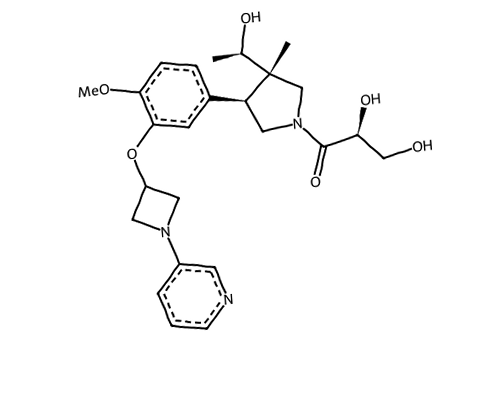 COc1ccc([C@@H]2CN(C(=O)[C@@H](O)CO)C[C@@]2(C)[C@@H](C)O)cc1OC1CN(c2cccnc2)C1